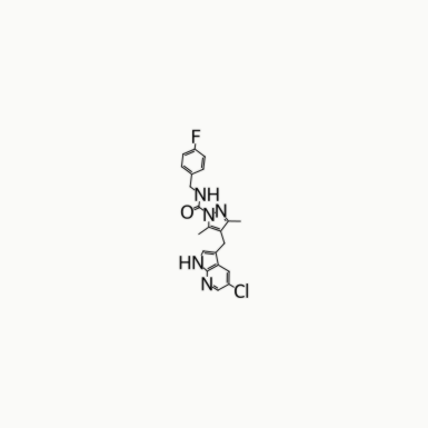 Cc1nn(C(=O)NCc2ccc(F)cc2)c(C)c1Cc1c[nH]c2ncc(Cl)cc12